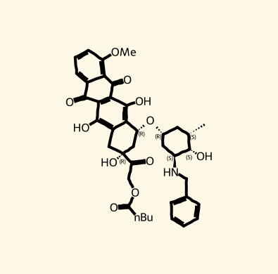 CCCCC(=O)OCC(=O)[C@@]1(O)Cc2c(O)c3c(c(O)c2[C@H](O[C@H]2C[C@H](NCc4ccccc4)[C@@H](O)[C@@H](C)C2)C1)C(=O)c1c(OC)cccc1C3=O